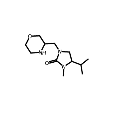 CC(C)C1CN(CC2COCCN2)C(=O)N1C